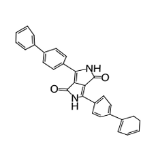 O=C1NC(c2ccc(-c3ccccc3)cc2)=C2C(=O)NC(c3ccc(C4=CC=CCC4)cc3)=C12